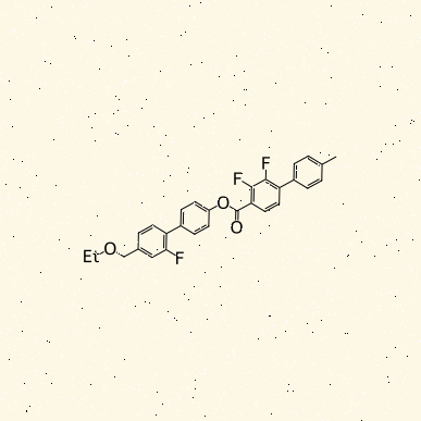 CCOCc1ccc(-c2ccc(OC(=O)c3ccc(-c4ccc(C)cc4)c(F)c3F)cc2)c(F)c1